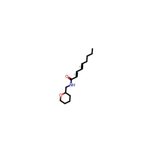 CCCC/C=C/C=C/C(=O)NCC1CCCCO1